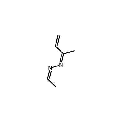 C=C/C(C)=N\N=C/C